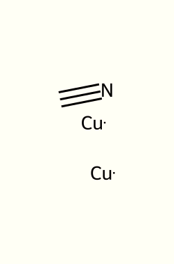 C#N.[Cu].[Cu]